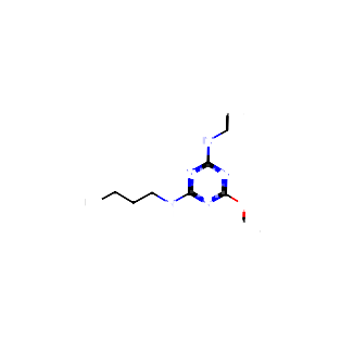 CCCCNc1nc(NCC)nc(OC)n1